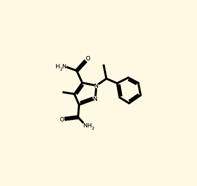 Cc1c(C(N)=O)nn(C(C)c2ccccc2)c1C(N)=O